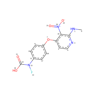 CNc1nccc(Oc2ccc(N(F)C(=O)O)cc2)c1[N+](=O)[O-]